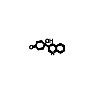 O=C1C=CC(O)(c2cnc3ccccc3c2)C=C1